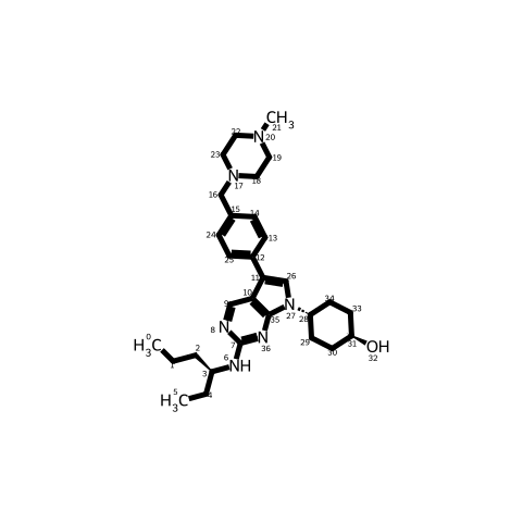 CCC[C@H](CC)Nc1ncc2c(-c3ccc(CN4CCN(C)CC4)cc3)cn([C@H]3CC[C@H](O)CC3)c2n1